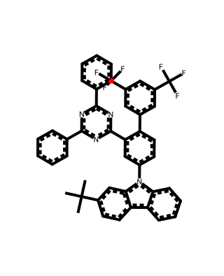 CC(C)(C)c1ccc2c3ccccc3n(-c3ccc(-c4cc(C(F)(F)F)cc(C(F)(F)F)c4)c(-c4nc(-c5ccccc5)nc(-c5ccccc5)n4)c3)c2c1